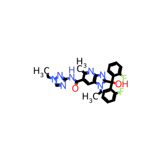 CCn1cnc(NC(=O)c2cc3c(nc2C)nc(C(O)(c2ccccc2F)c2ccccc2F)n3CC)n1